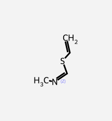 C=CS/C=N\C